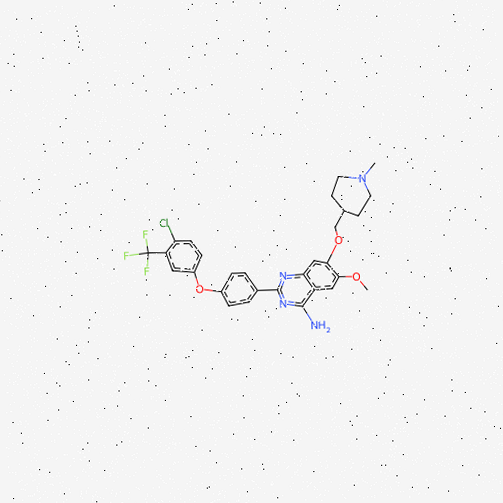 COc1cc2c(N)nc(-c3ccc(Oc4ccc(Cl)c(C(F)(F)F)c4)cc3)nc2cc1OCC1CCN(C)CC1